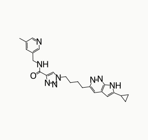 Cc1cncc(CNC(=O)c2cn(CCCCc3cc4cc(C5CC5)[nH]c4nn3)nn2)c1